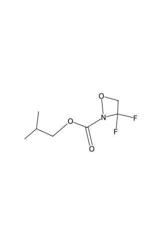 CC(C)COC(=O)N1OCC1(F)F